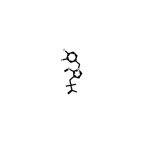 C=Nc1c(CC(C)(C)C(=C)C)ccn1Cc1ccc(F)c(F)c1